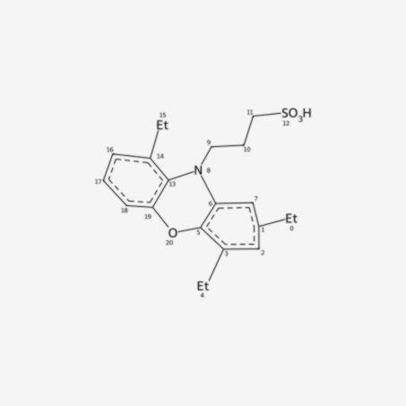 CCc1cc(CC)c2c(c1)N(CCCS(=O)(=O)O)c1c(CC)cccc1O2